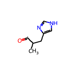 CC([C]=O)Cc1c[nH]cn1